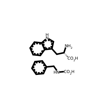 N[C@@H](Cc1c[nH]c2ccccc12)C(=O)O.O=C(O)NCc1ccccc1